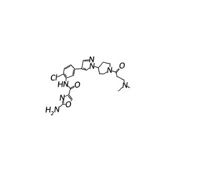 CN(C)CCC(=O)N1CCC(n2cc(-c3ccc(Cl)c(NC(=O)c4coc(N)n4)c3)cn2)CC1